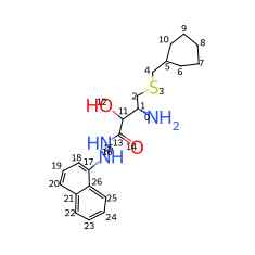 N[C@H](CSCC1CCCCC1)C(O)C(=O)NNc1cccc2ccccc12